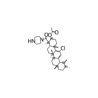 CC(=O)O[C@@H]1CC[C@]2(C)C3=C(Cl)C=C4C5[C@@H](C)[C@H](C)CC[C@]5(C)CC[C@@]4(C)[C@]3(C)CCC2[C@@]1(C)C(=O)N1CCNCC1